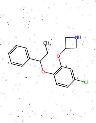 CCC(Oc1ccc(Cl)cc1OC1CNC1)c1ccccc1